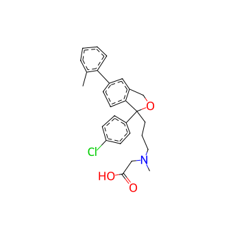 Cc1ccccc1-c1ccc2c(c1)COC2(CCCN(C)CC(=O)O)c1ccc(Cl)cc1